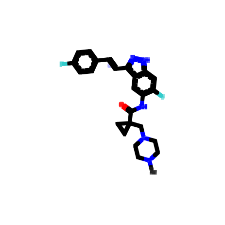 CC(=O)N1CCN(CC2(C(=O)Nc3cc4c(/C=C/c5ccc(F)cc5)n[nH]c4cc3F)CC2)CC1